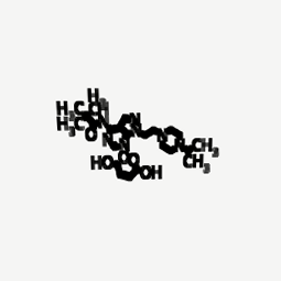 CC(C)N1CCN(CCn2ncc3c(NC(=O)C(C)(C)C)ncnc32)CC1.O=C(O)/C=C\C(=O)O